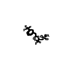 O=C(Cc1cccc(C(F)(F)F)c1)OC(CS(=O)(=O)O)C(F)(F)F